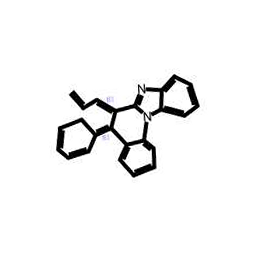 C=C/C=c1\c(=C2\C=CC=CC2)c2ccccc2n2c1nc1ccccc12